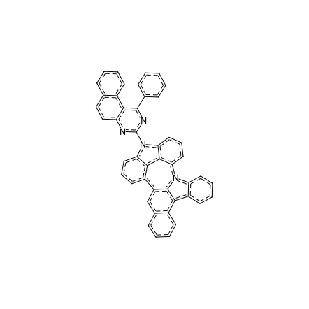 c1ccc(-c2nc(-n3c4cccc5c6cc7ccccc7c7c8ccccc8n(c8cccc3c8c54)c67)nc3ccc4ccccc4c23)cc1